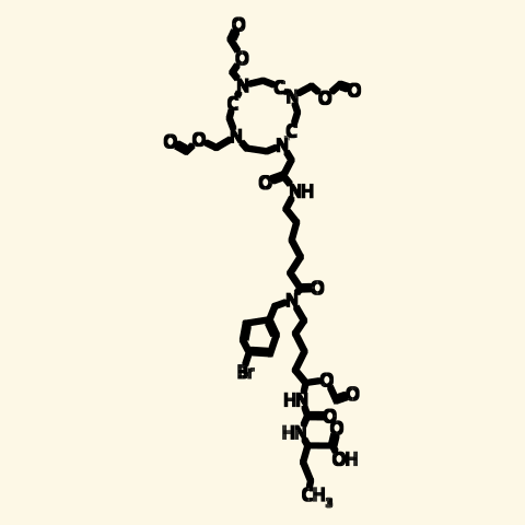 CCCC(NC(=O)NC(CCCCN(Cc1ccc(Br)cc1)C(=O)CCCCCNC(=O)CN1CCN(COC=O)CCN(COC=O)CCN(COC=O)CC1)OC=O)C(=O)O